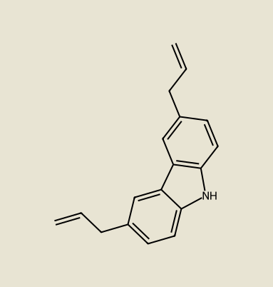 C=CCc1ccc2[nH]c3ccc(CC=C)cc3c2c1